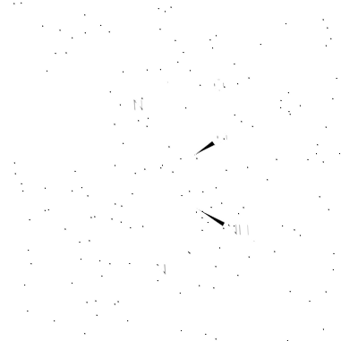 CO[C@H]1[C@@H](N)[C@H](N(C)C(C)C)CC[C@@H]1N1CCCC1=O